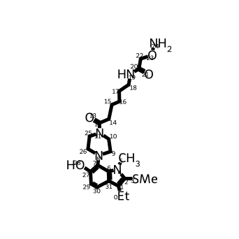 CCc1c(SC)n(C)c2c(N3CCN(C(=O)CCCCCNC(=O)CON)CC3)c(O)ccc12